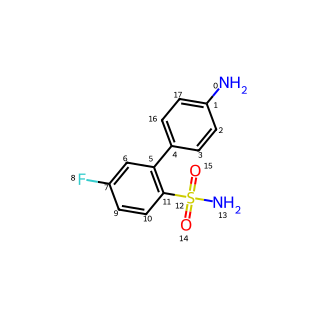 Nc1ccc(-c2cc(F)ccc2S(N)(=O)=O)cc1